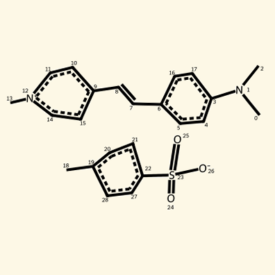 CN(C)c1ccc(/C=C/c2cc[n+](C)cc2)cc1.Cc1ccc(S(=O)(=O)[O-])cc1